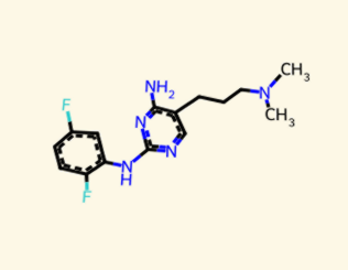 CN(C)CCCc1cnc(Nc2cc(F)ccc2F)nc1N